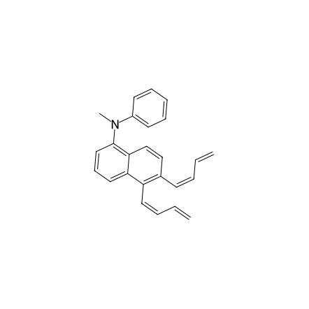 C=C/C=C\c1ccc2c(N(C)c3ccccc3)cccc2c1/C=C\C=C